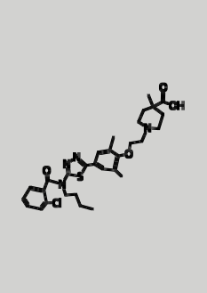 CCCCN(C(=O)c1ccccc1Cl)c1nnc(-c2cc(C)c(OCCN3CCC(C)(C(=O)O)CC3)c(C)c2)s1